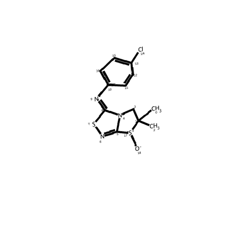 CC1(C)Cn2c(nsc2=Nc2ccc(Cl)cc2)[S+]1[O-]